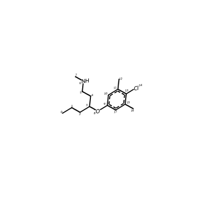 CCCC(CCNC)Oc1cc(C)c(Cl)c(C)c1